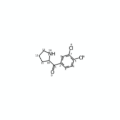 O=C(c1ccc(Cl)c(Cl)c1)C1CCCN1